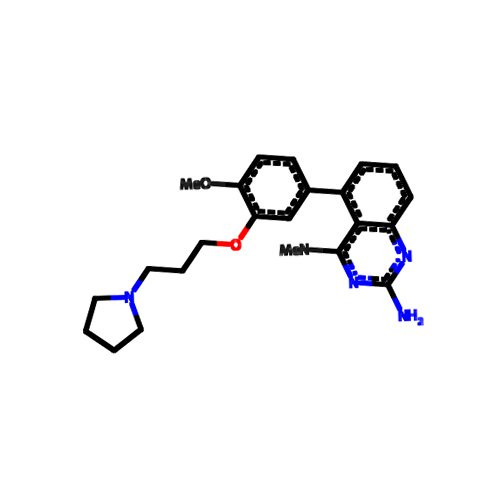 CNc1nc(N)nc2cccc(-c3ccc(OC)c(OCCCN4CCCC4)c3)c12